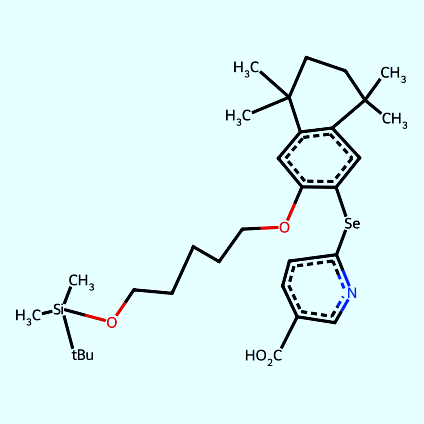 CC1(C)CCC(C)(C)c2cc([Se]c3ccc(C(=O)O)cn3)c(OCCCCCO[Si](C)(C)C(C)(C)C)cc21